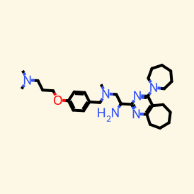 CN(C)CCCOc1ccc(CN(C)CC(N)c2nc3c(c(N4CCCCCC4)n2)CCCCC3)cc1